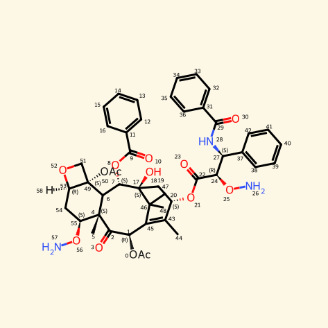 CC(=O)O[C@H]1C(=O)[C@@]2(C)C([C@H](OC(=O)c3ccccc3)[C@]3(O)C[C@H](OC(=O)[C@H](ON)[C@@H](NC(=O)c4ccccc4)c4ccccc4)C(C)=C1C3(C)C)[C@]1(OC(C)=O)CO[C@@H]1C[C@@H]2ON